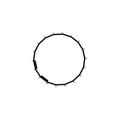 C1=CCCCCCCCCCCCCCCC=C1